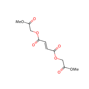 COC(=O)COC(=O)/C=C/C(=O)OCC(=O)OC